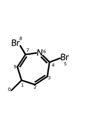 CC1C=CC(Br)=NC(Br)=C1